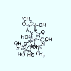 COc1cc(O)c2c(c1)[C@](O)([C@@H]1O[C@H](CO)[C@@H](O)[C@H](O)[C@H]1O)c1cc(C)cc(O)c1C2=O